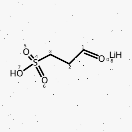 O=CCCS(=O)(=O)O.[LiH]